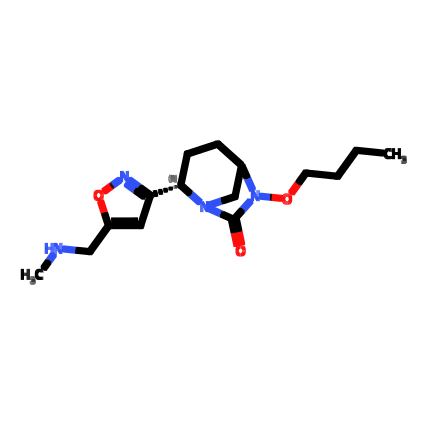 CCCCON1C(=O)N2CC1CC[C@H]2c1cc(CNC)on1